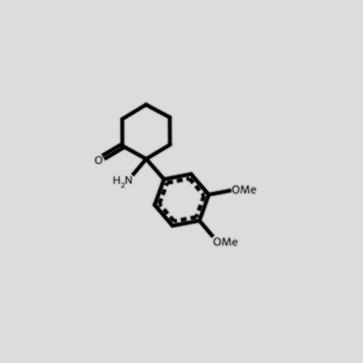 COc1ccc(C2(N)CCCCC2=O)cc1OC